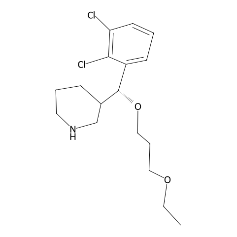 CCOCCCO[C@@H](c1cccc(Cl)c1Cl)C1CCCNC1